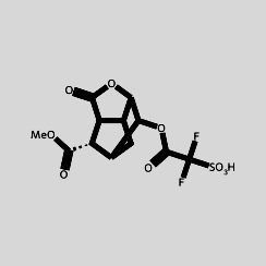 COC(=O)[C@H]1C2CC3C(OC(=O)C31)C2OC(=O)C(F)(F)S(=O)(=O)O